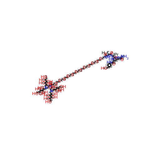 CC(C)[C@H](NC(=O)[C@@H](C)CC(=O)NCCOCCOCCOCCOCCOCCOCCOCCOCCOCCOCCOCCOCCC(=O)N(CCN(C[C@H](O)[C@@H](O)[C@H](O)[C@H](O)CO)C[C@H](O)[C@@H](O)[C@H](O)[C@H](O)CO)CCN(C[C@H](O)[C@@H](O)[C@H](O)[C@H](O)CO)C[C@H](O)[C@@H](O)[C@H](O)[C@H](O)CO)C(=O)N[C@@H](CCCNC(N)=O)C(=O)Nc1ccc(CO)cc1